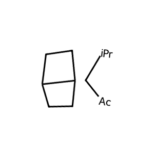 C1CC2CCC12.CC(=O)CC(C)C